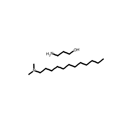 CCCCCCCCCCCCN(C)C.NCCCO